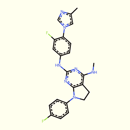 CNc1nc(Nc2ccc(-n3cnc(C)c3)c(F)c2)nc2c1CCN2c1ccc(F)cc1